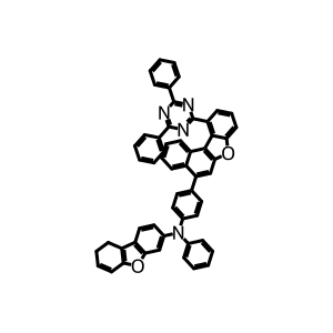 C1=Cc2oc3cc(N(c4ccccc4)c4ccc(-c5cc6oc7cccc(-c8nc(-c9ccccc9)nc(-c9ccccc9)n8)c7c6c6ccccc56)cc4)ccc3c2CC1